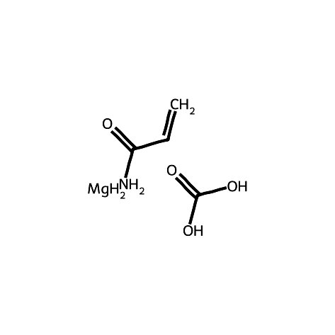 C=CC(N)=O.O=C(O)O.[MgH2]